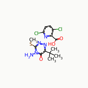 CSc1nnc(C(C)(C)C)c(=O)n1N.O=C(O)c1nc(Cl)ccc1Cl